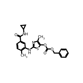 Cc1ccc(C(=O)NC2CC2)cc1Nc1nc(C)c(OC(=O)OCc2ccccc2)s1